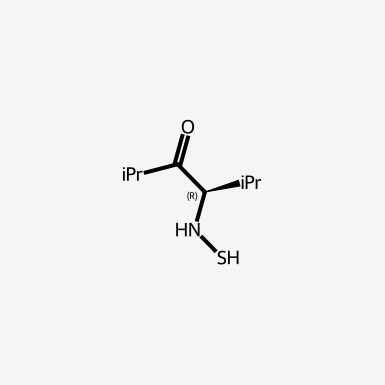 CC(C)C(=O)[C@H](NS)C(C)C